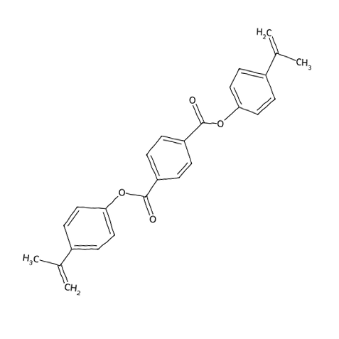 C=C(C)c1ccc(OC(=O)c2ccc(C(=O)Oc3ccc(C(=C)C)cc3)cc2)cc1